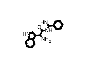 N=C(NC(=O)C(N)c1c[nH]c2ccccc12)c1ccccc1